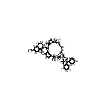 CC(C)(C)[Si](OCC[C@H]1CC/C=C/[C@H](O)[C@@H]2CC[C@H]2CN2C[C@@]3(CCCc4cc(Cl)ccc43)COc3ccc(cc32)C(=O)NS1(=O)=O)(c1ccccc1)c1ccccc1